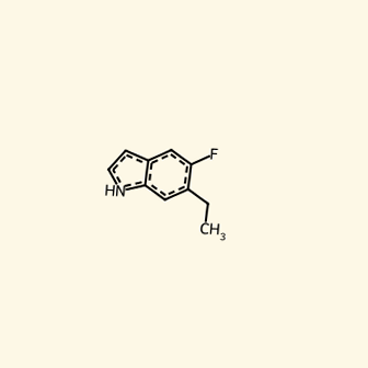 CCc1cc2[nH]ccc2cc1F